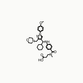 COc1ccc(-n2cc(C(Nc3ccc(C(=O)N(C)CCC(=O)O)cc3)C3CCCCC3)c(CN3CCOCC3)n2)cc1